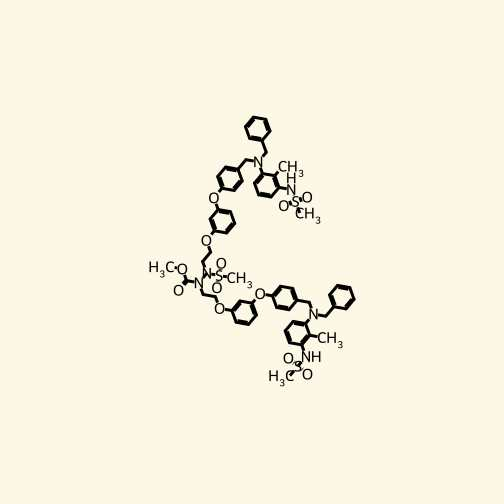 COC(=O)N(CCOc1cccc(Oc2ccc(CN(Cc3ccccc3)c3cccc(NS(C)(=O)=O)c3C)cc2)c1)N(CCOc1cccc(Oc2ccc(CN(Cc3ccccc3)c3cccc(NS(C)(=O)=O)c3C)cc2)c1)S(C)(=O)=O